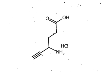 C#CC(N)CCC(=O)O.Cl